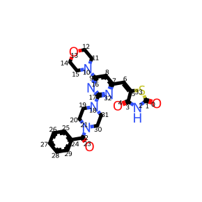 O=C1NC(=O)/C(=C\c2cc(N3CCOCC3)nc(N3CCN(C(=O)c4ccccc4)CC3)n2)S1